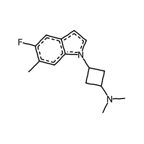 Cc1cc2c(ccn2C2CC(N(C)C)C2)cc1F